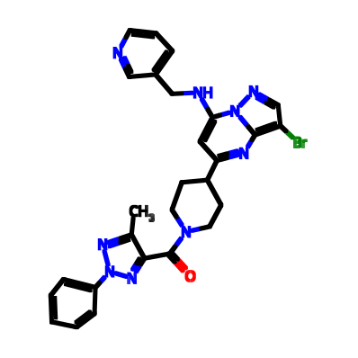 Cc1nn(-c2ccccc2)nc1C(=O)N1CCC(c2cc(NCc3cccnc3)n3ncc(Br)c3n2)CC1